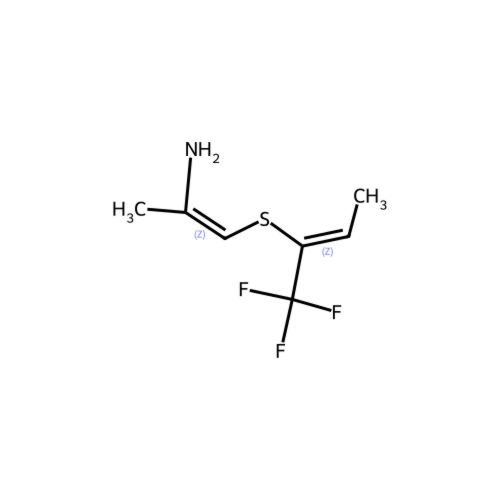 C/C=C(\S/C=C(/C)N)C(F)(F)F